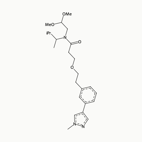 COC(CN(C(=O)CCOCCc1cccc(-c2cnn(C)c2)c1)C(C)C(C)C)OC